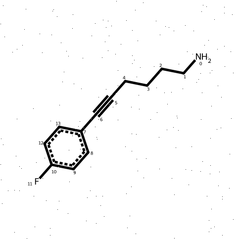 NCCCCC#Cc1ccc(F)cc1